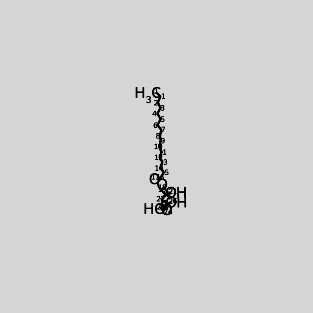 CCCCCCCCCCCCCCCCC(=O)OCC(O)CP(=O)(O)O